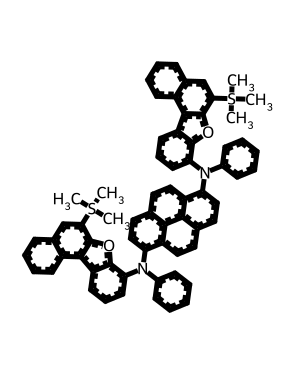 CS(C)(C)c1cc2ccccc2c2c1oc1c(N(c3ccccc3)c3ccc4ccc5c(N(c6ccccc6)c6cccc7c6oc6c(S(C)(C)C)cc8ccccc8c67)ccc6ccc3c4c65)cccc12